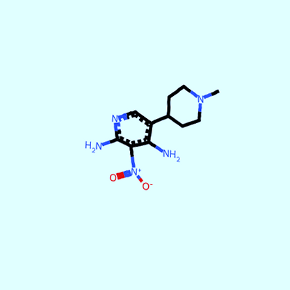 CN1CCC(c2cnc(N)c([N+](=O)[O-])c2N)CC1